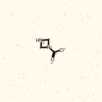 O=C(Cl)N1CNC1